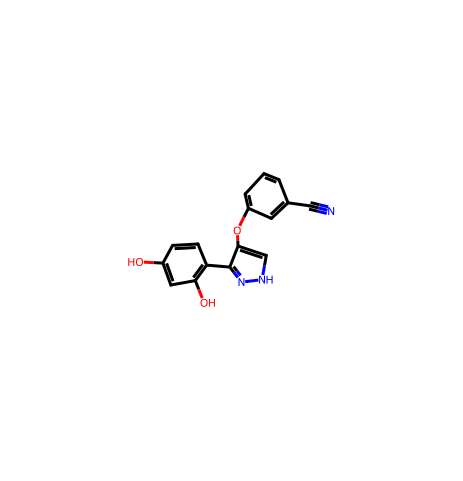 N#Cc1cccc(Oc2c[nH]nc2-c2ccc(O)cc2O)c1